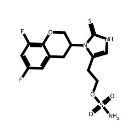 NS(=O)(=O)OCCc1c[nH]c(=S)n1C1COc2c(F)cc(F)cc2C1